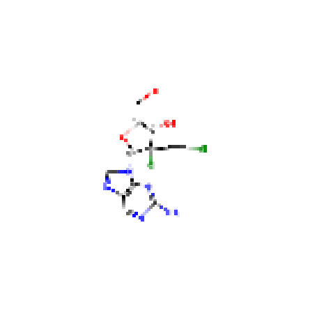 Nc1ncc2ncn([C@@H]3O[C@H](CO)[C@H](O)C3(Cl)C#CCl)c2n1